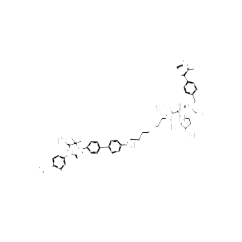 Cc1ncsc1-c1ccc(CNC(=O)[C@@H]2C[C@@H](O)CN2C(=O)C(NC(=O)COCCCCNc2ccc(-c3ccc(N4C(=S)N(c5ccc(C#N)c(C(F)(F)F)c5)C(=N)C4(C)C)cc3)cc2)C(C)(C)C)cc1